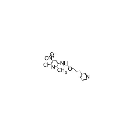 Cc1nc(Cl)c([N+](=O)[O-])cc1NCCOCCCc1cccnc1